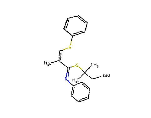 CC(=CSc1ccccc1)C(=Nc1ccccc1)SC(C)(C)CC(C)(C)C